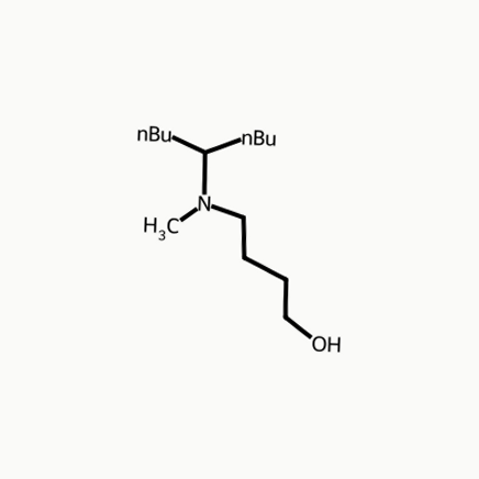 CCCCC(CCCC)N(C)CCCCO